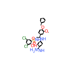 COc1cc(C(CNS(=O)(=O)c2cc(Cl)cc(Cl)c2O)Nc2ccc(C(=N)N)cc2)ccc1OCc1ccccc1